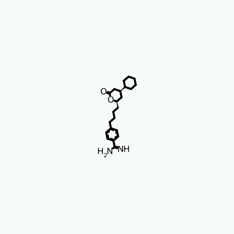 N=C(N)c1ccc(CCCC[C@@H]2C[C@H](C3CCCCC3)CC(=O)O2)cc1